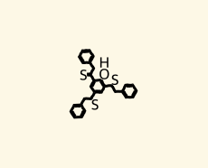 Oc1c(C(=S)Cc2ccccc2)cc(C(=S)Cc2ccccc2)cc1C(=S)Cc1ccccc1